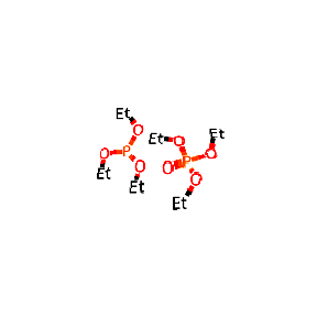 CCOP(=O)(OCC)OCC.CCOP(OCC)OCC